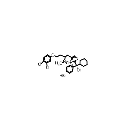 Br.CN(C)C(CCOc1ccc(Cl)c(Cl)c1)Cc1cnc([C@](O)(c2ccccc2)C2CCCCC2)o1